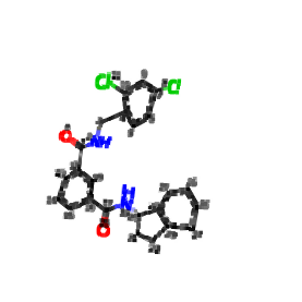 O=C(NCc1ccc(Cl)cc1Cl)c1cccc(C(=O)N[C@H]2CCc3ccccc32)c1